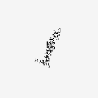 CN(C)[C@@H]1CCN(c2ccc(-n3cnc4cc(-c5ccc(Cl)cc5)sc4c3=O)cc2)C1